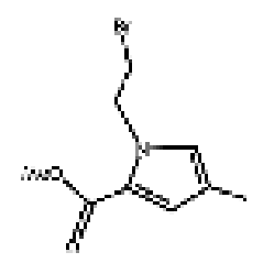 COC(=O)c1cc(I)cn1CCBr